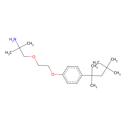 CC(C)(C)CC(C)(C)c1ccc(OCCOCC(C)(C)N)cc1